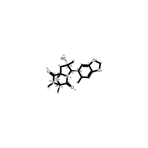 CC1C=C2OCOC2=C[C@@H]1C1N2C(=O)[C@@]3(C)SC2(C[C@]1(C)C#N)C(=O)N3C